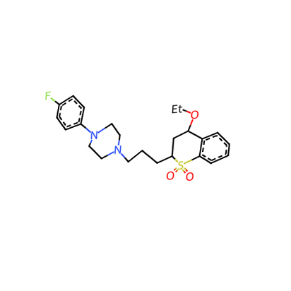 CCOC1CC(CCCN2CCN(c3ccc(F)cc3)CC2)S(=O)(=O)c2ccccc21